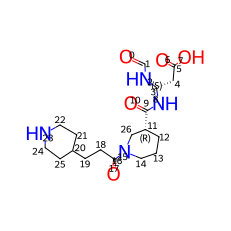 O=CN[C@H](CC(=O)O)NC(=O)[C@@H]1CCCN(C(=O)CCC2CCNCC2)C1